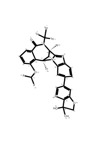 [2H]C([2H])([2H])N1C(=O)c2cccc(OC(F)F)c2[C@H]2C[C@@H]1c1nc3ccc(-c4cnc5c(c4)OCC5(C)O)cc3n12